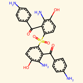 Nc1ccc(C(=O)c2c(S(=O)(=O)c3ccc(O)c(N)c3C(=O)c3ccc(N)cc3)ccc(O)c2N)cc1